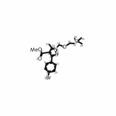 COC(=O)c1c(-c2ccc(Br)cc2)nn(COCC[Si](C)(C)C)c1C